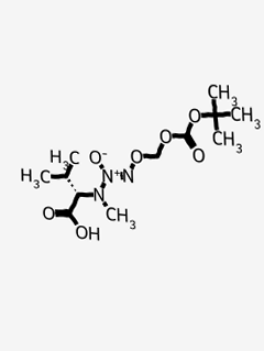 CC(C)[C@@H](C(=O)O)N(C)[N+]([O-])=NOCOC(=O)OC(C)(C)C